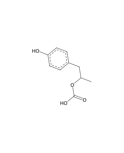 CC(Cc1ccc(O)cc1)OC(=O)O